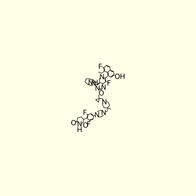 CCc1c(F)ccc2cc(O)cc(-c3ncc4c(N5CC6CCC(C5)N6)nc(OCC5(CN6CCC(C)(CN7CCN(c8cc(F)c(C9CCC(=O)NC9=O)c(F)c8)CC7)CC6)CC5)nc4c3F)c12